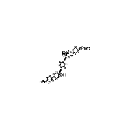 CCCCCC1CCC(C2CCC(C#Cc3ccc(C#CC4(O)CCC(C5CCC(CCC)CC5)CC4)cc3)(OCCCC)CC2)CC1